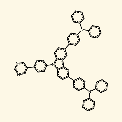 c1ccc(N(c2ccccc2)c2ccc(-c3ccc4c(c3)c3cc(-c5ccc(N(c6ccccc6)c6ccccc6)cc5)ccc3n4-c3ccc(-c4cncnc4)cc3)cc2)cc1